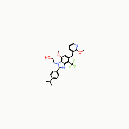 COc1ncccc1Cc1cc(OC)c2c(nc(-c3ccc(C(C)C)cc3)n2CCO)c1C(F)(F)F